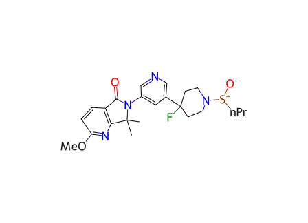 CCC[S+]([O-])N1CCC(F)(c2cncc(N3C(=O)c4ccc(OC)nc4C3(C)C)c2)CC1